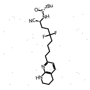 CC(C)(C)[S@+]([O-])N[C@H](C#N)CCC(F)(F)CCCCc1ccc2c(n1)NCCC2